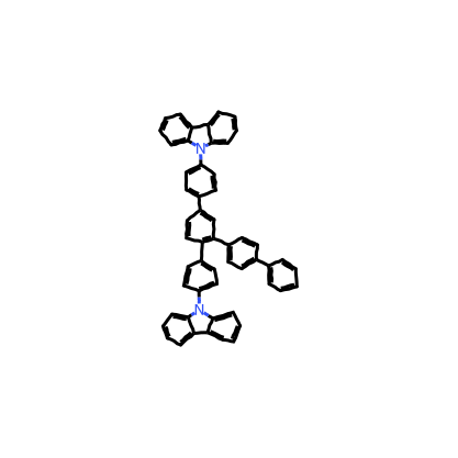 c1ccc(-c2ccc(-c3cc(-c4ccc(-n5c6ccccc6c6ccccc65)cc4)ccc3-c3ccc(-n4c5ccccc5c5ccccc54)cc3)cc2)cc1